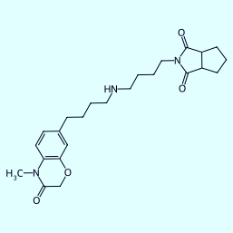 CN1C(=O)COc2cc(CCCCNCCCCN3C(=O)C4CCCC4C3=O)ccc21